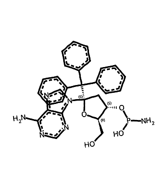 Nc1ncnc2c1ncn2[C@@]1(C(c2ccccc2)(c2ccccc2)c2ccccc2)C[C@H](OP(N)O)[C@@H](CO)O1